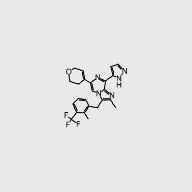 Cc1nc2c(-c3ccn[nH]3)nc(C3=CCOCC3)cn2c1Cc1cccc(C(F)(F)F)c1C